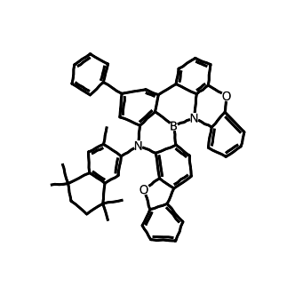 Cc1cc2c(cc1N1c3cc(-c4ccccc4)cc4c3B(c3ccc5c(oc6ccccc65)c31)N1c3ccccc3Oc3cccc-4c31)C(C)(C)CCC2(C)C